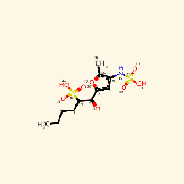 CCCCC(C(=O)c1cc(NS(=O)(=O)O)c(C)o1)S(=O)(=O)O